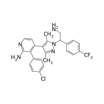 Cc1nn(C(CN)c2ccc(C(F)(F)F)cc2)c(C)c1-c1ccnc(N)c1-c1ccc(Cl)cc1